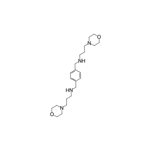 c1cc(CNCCCN2CCOCC2)ccc1CNCCCN1CCOCC1